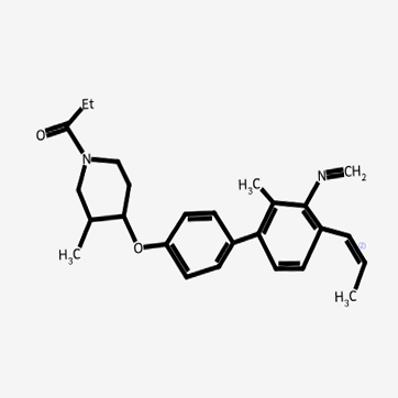 C=Nc1c(/C=C\C)ccc(-c2ccc(OC3CCN(C(=O)CC)CC3C)cc2)c1C